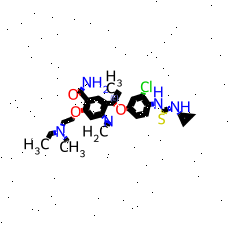 C=Nc1cc(OCCN(CC)CC)c(C(N)=O)cc1/C(=C\C)Oc1ccc(NC(=S)NC2CC2)c(Cl)c1